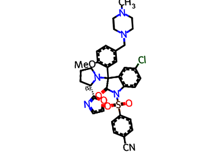 COc1ccc(CN2CCN(C)CC2)cc1C1(N2CCC[C@H]2c2ncco2)C(=O)N(S(=O)(=O)c2ccc(C#N)cc2)c2ccc(Cl)cc21